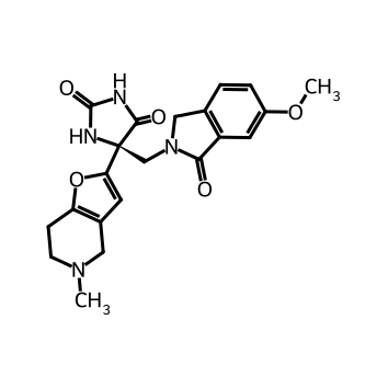 COc1ccc2c(c1)C(=O)N(C[C@@]1(c3cc4c(o3)CCN(C)C4)NC(=O)NC1=O)C2